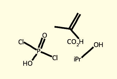 C=C(C)C(=O)O.CC(C)O.O=P(O)(Cl)Cl